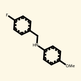 COc1ccc(NCc2ccc(F)cc2)cc1